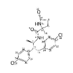 C[C@@H](NC(=O)C1(C)CCC(=O)N1)[C@H](Cc1ccc(Cl)cc1)c1ccc(Cl)cc1